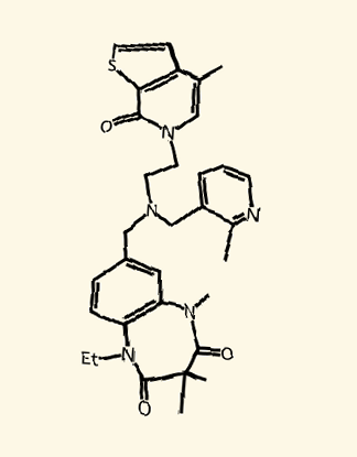 CCN1C(=O)C(C)(C)C(=O)N(C)c2cc(CN(CCn3cc(C)c4ccsc4c3=O)Cc3cccnc3C)ccc21